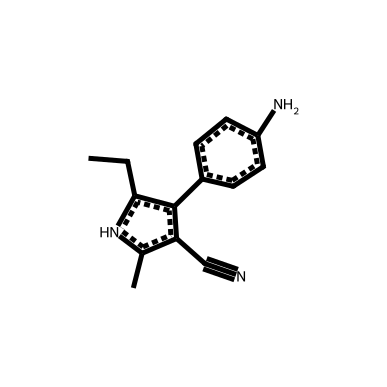 CCc1[nH]c(C)c(C#N)c1-c1ccc(N)cc1